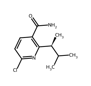 CC(C)[C@H](C)c1nc(Cl)ccc1C(N)=O